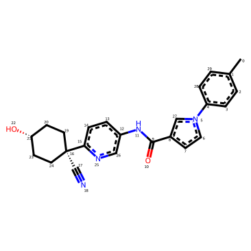 Cc1ccc(-n2ccc(C(=O)Nc3ccc([C@]4(C#N)CC[C@@H](O)CC4)nc3)c2)cc1